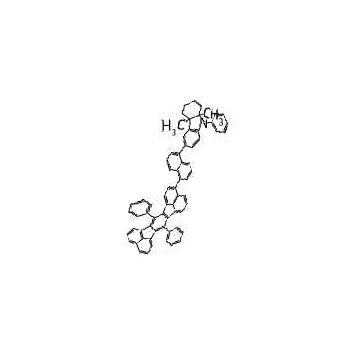 CC12CCCCC1(C)N(c1ccccc1)c1ccc(-c3cccc4c(-c5ccc6c7c(-c8ccccc8)c8c9cccc%10cccc(c8c(-c8ccccc8)c7c7cccc5c76)c%109)cccc34)cc12